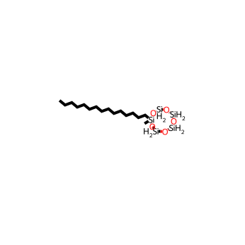 CCCCCCCCCCCCCCC[Si]1(C)O[SiH2]O[SiH2]O[SiH2]O[SiH2]O1